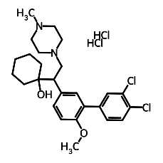 COc1ccc(C(CN2CCN(C)CC2)C2(O)CCCCC2)cc1-c1ccc(Cl)c(Cl)c1.Cl.Cl